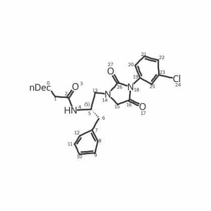 CCCCCCCCCCCC(=O)N[C@@H](Cc1ccccc1)CN1CC(=O)N(c2cccc(Cl)c2)C1=O